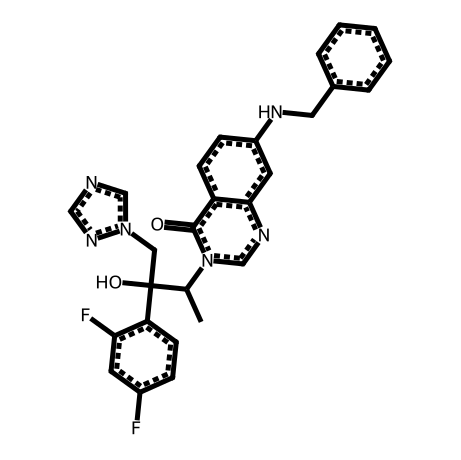 CC(n1cnc2cc(NCc3ccccc3)ccc2c1=O)C(O)(Cn1cncn1)c1ccc(F)cc1F